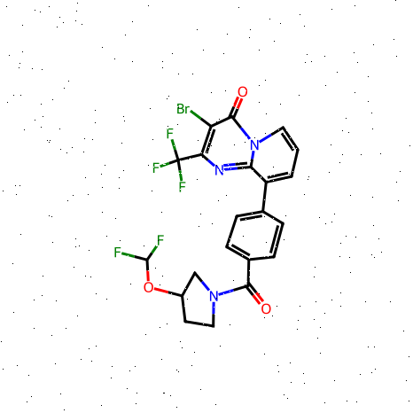 O=C(c1ccc(-c2cccn3c(=O)c(Br)c(C(F)(F)F)nc23)cc1)N1CCC(OC(F)F)C1